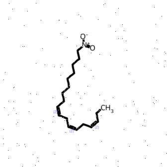 CC/C=C\C/C=C\C/C=C\CCCCCCCC[N+](=O)[O-]